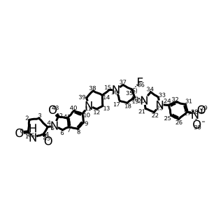 O=C1CCC(N2Cc3ccc(N4CCC(CN5CC[C@@H](N6CCN(c7ccc([N+](=O)[O-])cc7)CC6)[C@@H](F)C5)CC4)cc3C2=O)C(=O)N1